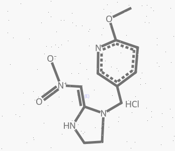 COc1ccc(CN2CCN/C2=C\[N+](=O)[O-])cn1.Cl